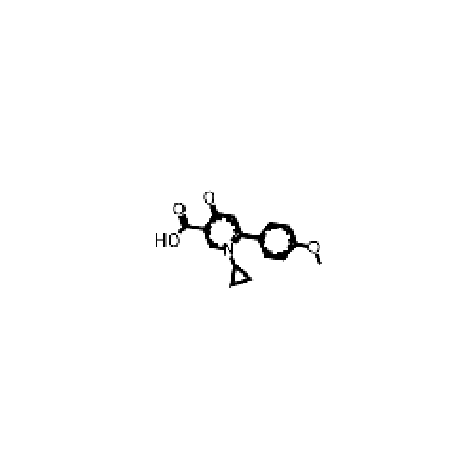 COc1ccc(-c2cc(=O)c(C(=O)O)cn2C2CC2)cc1